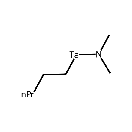 CCCC[CH2][Ta][N](C)C